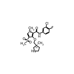 Cn1cc(S(C)(=O)=O)c(OC[C@@]2(C)CCNC2)c1C(=O)Nc1ccc(F)c(Cl)c1